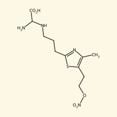 Cc1nc(CCCNC(N)C(=O)O)sc1CCO[N+](=O)[O-]